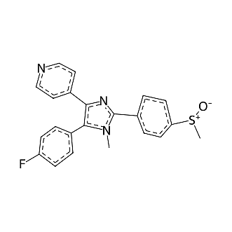 Cn1c(-c2ccc([S+](C)[O-])cc2)nc(-c2ccncc2)c1-c1ccc(F)cc1